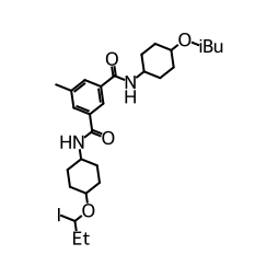 CCC(C)OC1CCC(NC(=O)c2cc(C)cc(C(=O)NC3CCC(OC(I)CC)CC3)c2)CC1